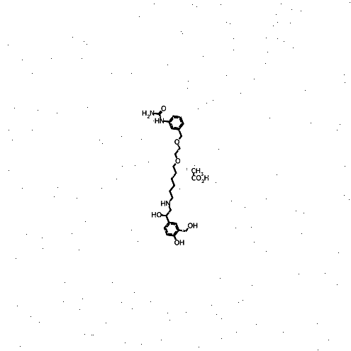 CC(=O)O.NC(=O)Nc1cccc(COCCOCCCCCCNC[C@H](O)c2ccc(O)c(CO)c2)c1